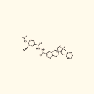 CC(C)Oc1ccc(C(=O)NNC(=O)c2ccc3c(c2)C[C@@]2(CC3)COC(C)(C)N2Cc2ccccc2)cc1C#N